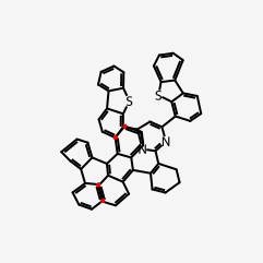 C1=CC(c2c3ccccc3c(-c3ccccc3-c3ccccc3)c3ccccc23)=C(c2nc(-c3cccc4c3sc3ccccc34)cc(-c3cccc4c3sc3ccccc34)n2)CC1